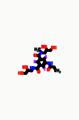 CCC(=O)Nc1c(I)c(C(=O)NCC(O)CO)c(I)c(C(=O)N(C)CC(O)CO)c1I